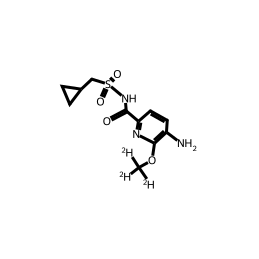 [2H]C([2H])([2H])Oc1nc(C(=O)NS(=O)(=O)CC2CC2)ccc1N